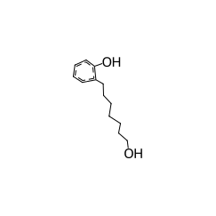 OCCCCCCCc1ccccc1O